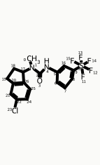 CN(C(=O)Nc1cccc(S(F)(F)(F)(F)F)c1)C1CCc2cc(Cl)ccc21